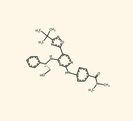 CN(C)C(=O)c1ccc(Nc2ncc(-c3nc(C(C)(C)C)no3)c(N[C@H](CO)c3ccccc3)n2)cc1